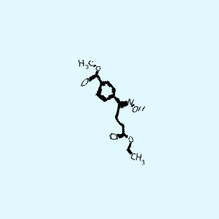 CCOC(=O)CCC(=NO)c1ccc(C(=O)OC)cc1